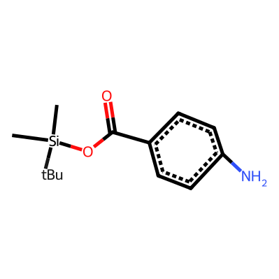 CC(C)(C)[Si](C)(C)OC(=O)c1ccc(N)cc1